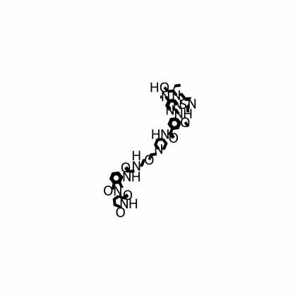 CC[C@@H]1C(O)N(C)c2cnc(Nc3ccc(C(=O)NC4CCN(CCOCCNCC(=O)Nc5cccc6c5CN(C5CCC(=O)NC5=O)C6=O)CC4)cc3OC)nc2N1Cc1cnc(C)s1